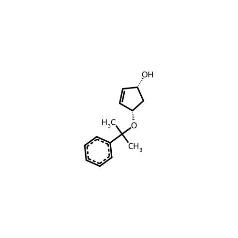 CC(C)(O[C@@H]1C=C[C@H](O)C1)c1ccccc1